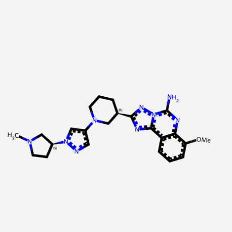 COc1cccc2c1nc(N)n1nc([C@@H]3CCCN(c4cnn([C@H]5CCN(C)C5)c4)C3)nc21